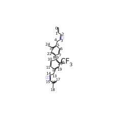 C=C/C=C\Cc1ccc(-c2ccc(C/C=C\C(=C)C)cc2C(F)(F)F)cc1C